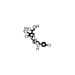 O=c1c(Cl)c([C@H](O)CO)cnn1Cc1nc(C[C@H](O)c2ccc(Cl)cc2)no1